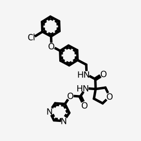 O=C(NC1(C(=O)NCc2ccc(Oc3ccccc3Cl)cc2)CCOC1)Oc1cncnc1